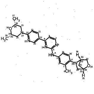 Cc1cc(Nc2nccc(-c3ccc(N4C[C@@H](C)O[C@@H](C)C4)nc3)n2)ccc1N1C[C@@H]2C[C@H]1CO2